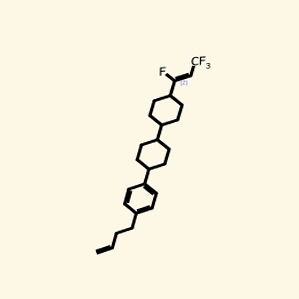 C=CCCc1ccc(C2CCC(C3CCC(/C(F)=C/C(F)(F)F)CC3)CC2)cc1